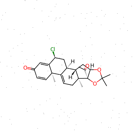 CC(=O)[C@@]12OC(C)(C)O[C@@H]1C[C@H]1[C@@H]3C[C@H](Cl)C4=CC(=O)C=C[C@]4(C)C3=CC[C@@]12C